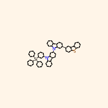 c1ccc([Si](c2ccccc2)(c2ccccc2)c2cccc(-n3c4ccccc4c4ccc(-n5c6ccccc6c6ccc(-c7ccc8sc9ccccc9c8c7)cc65)cc43)c2)cc1